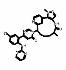 CC1CCCC(n2cnc(-c3cc(Cl)ccc3Nc3ncccn3)cc2=O)c2cc(ccn2)-c2c(cnn2C)NC1=O